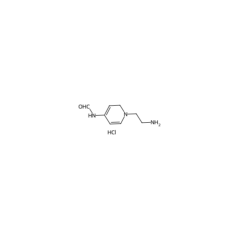 Cl.NCCN1C=CC(NC=O)=CC1